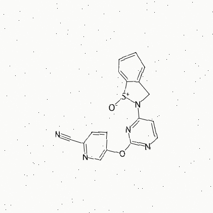 N#Cc1ccc(Oc2nccc(N3Cc4ccccc4[S+]3[O-])n2)cn1